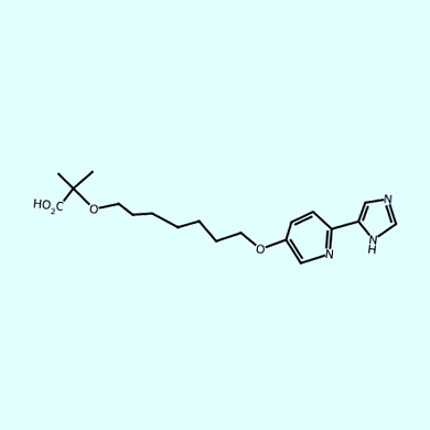 CC(C)(OCCCCCCCOc1ccc(-c2cnc[nH]2)nc1)C(=O)O